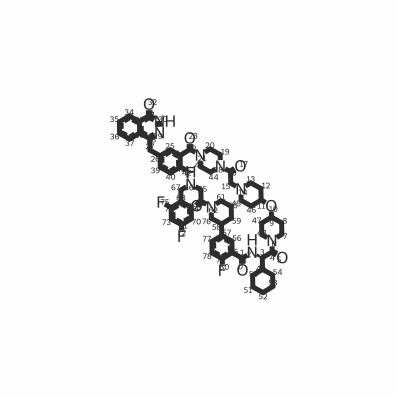 O=C(N[C@@H](C(=O)N1CCC(OC2CCN(CC(=O)N3CCN(C(=O)c4cc(Cc5n[nH]c(=O)c6ccccc56)ccc4F)CC3)CC2)CC1)C1CCCCC1)c1cc(C2CCCN(C(=O)CNCc3ccc(F)cc3F)C2)ccc1F